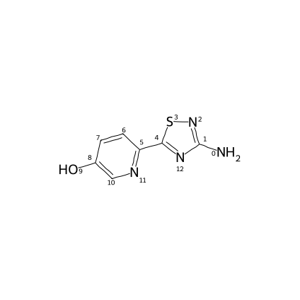 Nc1nsc(-c2ccc(O)cn2)n1